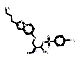 CCCCc1nc2cc(OC/C(=C\F)C(N)OS(=O)(=O)c3ccc(C)cc3)ccn2n1